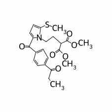 CCC(=O)c1ccc(C(=O)c2ccc(SC)n2CCC(C(=O)OC)C(=O)OC)cc1